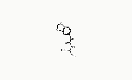 CC(C)NC(=O)Nc1ccc2c(c1)OCO2